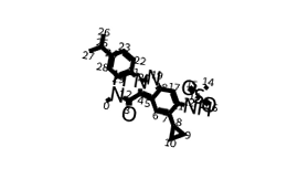 CNC(=O)c1c2cc(C3CC3)c(NS(C)(=O)=O)cc2nn1-c1ccc(C(C)C)cc1